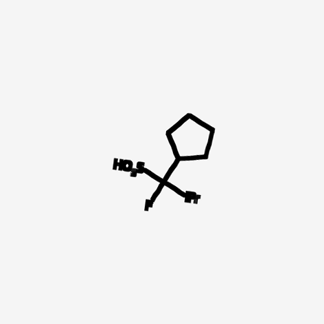 CC(C)C(F)(C1CCCC1)S(=O)(=O)O